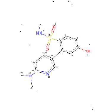 CNS(=O)(=O)c1ccc(O)cc1-c1ccc(N(C)C)nc1